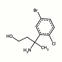 CC(N)(CCO)c1cc(Br)ccc1Cl